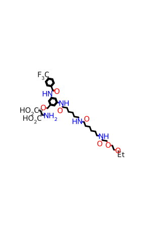 CCOCCOCC(=O)NCCCCCC(=O)NCCCCCC(=O)Nc1cc(CO[C@H](C(=O)O)[C@H](N)C(=O)O)cc(NC(=O)c2ccc(C(F)(F)F)cc2)c1